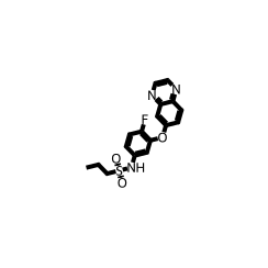 CCCS(=O)(=O)Nc1ccc(F)c(Oc2ccc3nccnc3c2)c1